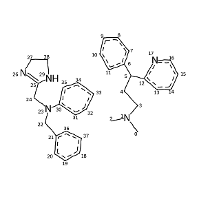 CN(C)CCC(c1ccccc1)c1ccccn1.c1ccc(CN(CC2=NCCN2)c2ccccc2)cc1